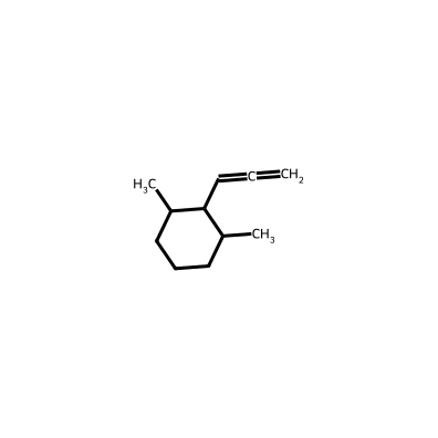 C=C=CC1C(C)CCCC1C